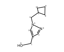 OCc1cnn(CC2CCC2)c1